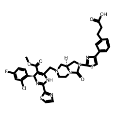 COC(=O)C1=C(CN2CCN3C(=O)N(c4nc(-c5cccc(CCC(=O)O)c5)cs4)C[C@@H]3C2)NC(c2nccs2)=N[C@H]1c1ccc(F)cc1Cl